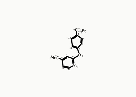 CCOC(=O)c1ccc(Oc2cc(OC)ccn2)cc1